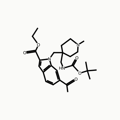 CCOC(=O)c1cc2ccc(C(C)=O)cc2n1CC1(CNC(=O)OC(C)(C)C)CCN(C)CC1